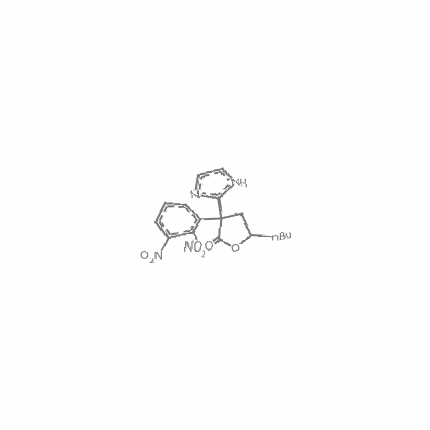 CCCCC1CC(c2ncc[nH]2)(c2cccc([N+](=O)[O-])c2[N+](=O)[O-])C(=O)O1